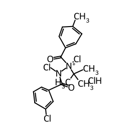 Cc1ccc(C(=O)[N+](Cl)(N(Cl)C(=O)c2cccc(Cl)c2)C(C)(C)C)cc1.Cl